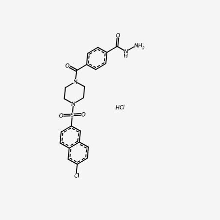 Cl.NNC(=O)c1ccc(C(=O)N2CCN(S(=O)(=O)c3ccc4cc(Cl)ccc4c3)CC2)cc1